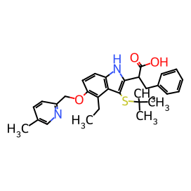 CCc1c(OCc2ccc(C)cn2)ccc2[nH]c(C(Cc3ccccc3)C(=O)O)c(SC(C)(C)C)c12